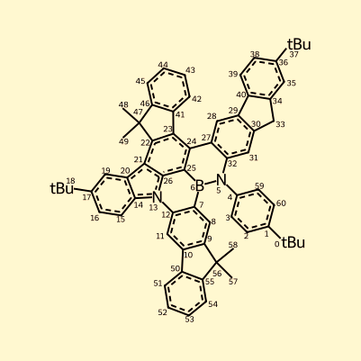 CC(C)(C)c1ccc(N2B3c4cc5c(cc4-n4c6ccc(C(C)(C)C)cc6c6c7c(c(c3c64)-c3cc4c(cc32)Cc2cc(C(C)(C)C)ccc2-4)-c2ccccc2C7(C)C)-c2ccccc2C5(C)C)cc1